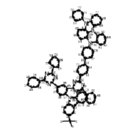 CC(C)(C)c1ccc2c(c1)c1ccccc1n2-c1ccc(-c2nc(-c3ccccc3)nc(-c3ccccc3)n2)cc1-c1nc(-c2ccccc2)nc(-c2ccc(-c3ccc(N4c5ccccc5B5c6ccccc6N(c6ccccc6)c6cccc4c65)cc3)cc2)n1